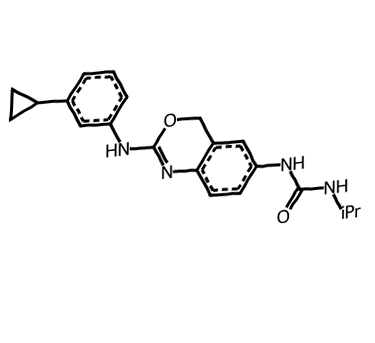 CC(C)NC(=O)Nc1ccc2c(c1)COC(Nc1cccc(C3CC3)c1)=N2